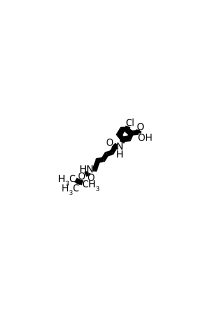 CC(C)(C)OC(=O)NCCCCCC(=O)Nc1ccc(Cl)c(C(=O)O)c1